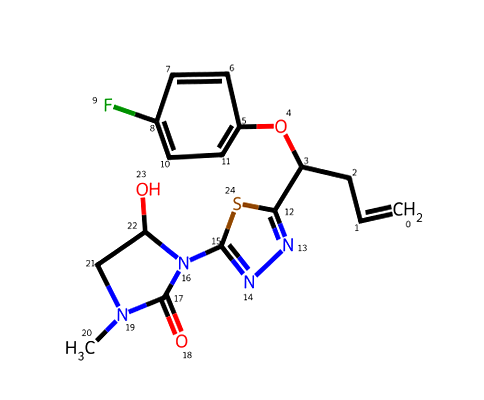 C=CCC(Oc1ccc(F)cc1)c1nnc(N2C(=O)N(C)CC2O)s1